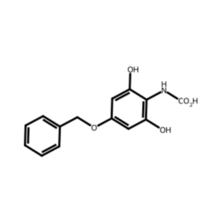 O=C(O)Nc1c(O)cc(OCc2ccccc2)cc1O